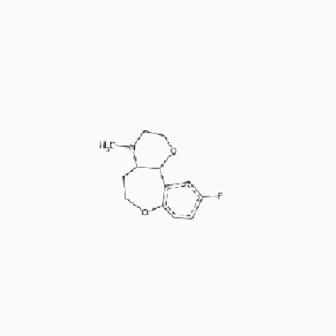 CN1CCOC2c3cc(F)ccc3OCCC21